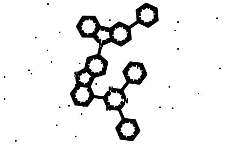 c1ccc(-c2ccc3c(c2)c2ccccc2n3-c2ccc3c(c2)sc2cccc(-c4nc(-c5ccccc5)nc(-c5ccccc5)n4)c23)cc1